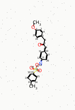 COc1ccc(CC(=O)C=C2C=CC(=NOS(=O)(=O)c3ccc(C)cc3)C=C2)cc1